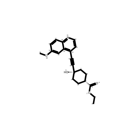 CCOC(=O)[C@H]1CC[C@](O)(C#Cc2ccnc3ccc(OC)cc23)CC1